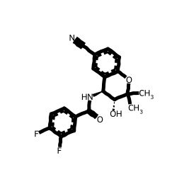 CC1(C)Oc2ccc(C#N)cc2[C@H](NC(=O)c2ccc(F)c(F)c2)[C@H]1O